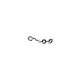 c1ncc(-c2ccc(OCCCN3CCCCC3)nc2)o1